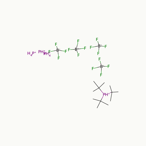 CC(C)(C)[PH+](C(C)(C)C)C(C)(C)C.F[B-](F)(F)F.F[B-](F)(F)F.F[B-](F)(F)F.F[B-](F)(F)F.[PH4+].[PH4+].[PH4+]